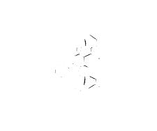 CS(=O)(=O)c1cc(F)ccc1CN(CC1COCCO1)C(=O)c1c(O)c2ncccc2[nH]c1=O